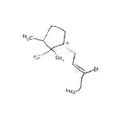 CC/C(=C\C[C@H]1CCC(C)C1(C)C)CO